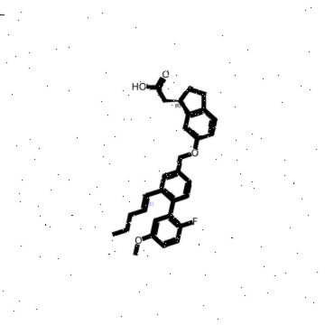 CCC/C=C/c1cc(COc2ccc3c(c2)[C@@H](CC(=O)O)CC3)ccc1-c1cc(OC)ccc1F